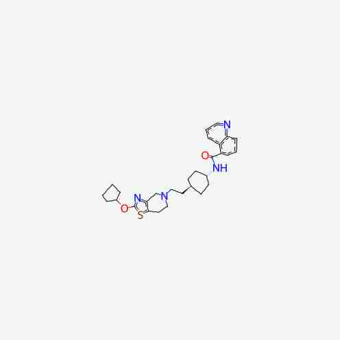 O=C(N[C@H]1CC[C@H](CCN2CCc3sc(OC4CCCC4)nc3C2)CC1)c1cccc2ncccc12